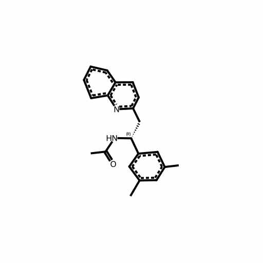 CC(=O)N[C@H](Cc1ccc2ccccc2n1)c1cc(C)cc(C)c1